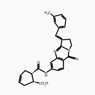 Cc1cccc(/C=C2\CCn3c2nc2cc(NC(=O)[C@@H]4CC=CC[C@@H]4C(=O)O)ccc2c3=O)c1